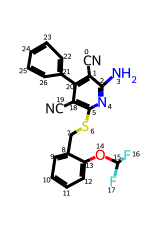 N#Cc1c(N)nc(SCc2ccccc2OC(F)F)c(C#N)c1-c1ccccc1